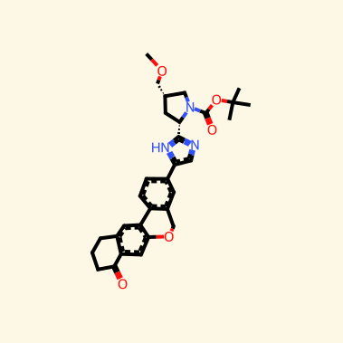 COC[C@H]1C[C@@H](c2ncc(-c3ccc4c(c3)COc3cc5c(cc3-4)CCCC5=O)[nH]2)N(C(=O)OC(C)(C)C)C1